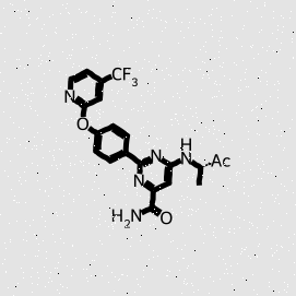 CC(=O)[C@H](C)Nc1cc(C(N)=O)nc(-c2ccc(Oc3cc(C(F)(F)F)ccn3)cc2)n1